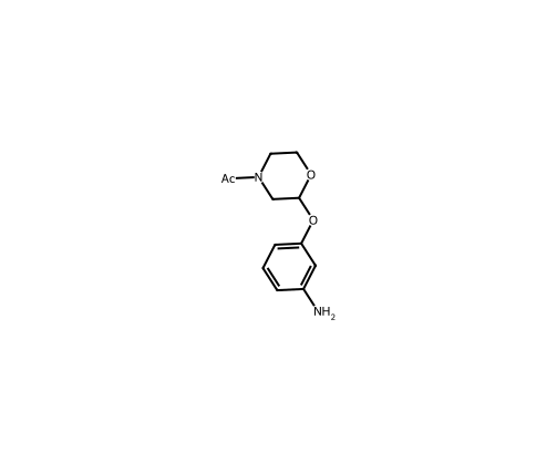 CC(=O)N1CCOC(Oc2cccc(N)c2)C1